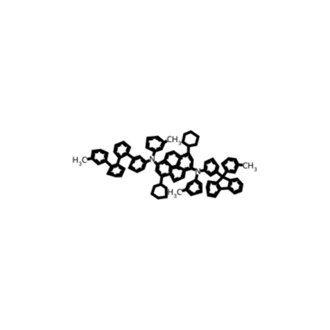 Cc1cccc(-c2ccccc2-c2ccccc2-c2cccc(N(c3cccc(C)c3)c3cc(C4CCCCC4)c4ccc5c(N(c6cccc(C)c6)c6cccc(C7(c8cccc(C)c8)c8ccccc8-c8ccccc87)c6)cc(C6CCCCC6)c6ccc3c4c65)c2)c1